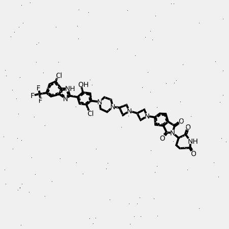 O=C1CCC(N2C(=O)c3ccc(N4CC(N5CC(N6CCN(c7cc(O)c(-c8nc9cc(C(F)(F)F)cc(Cl)c9[nH]8)cc7Cl)CC6)C5)C4)cc3C2=O)C(=O)N1